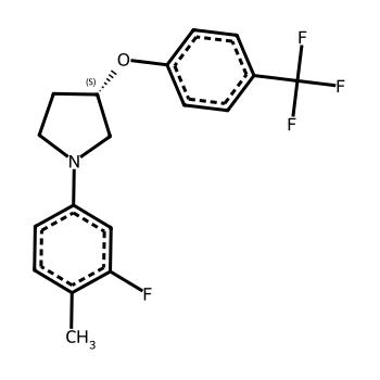 Cc1ccc(N2CC[C@H](Oc3ccc(C(F)(F)F)cc3)C2)cc1F